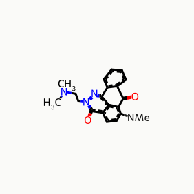 CNc1ccc2c(=O)n(CCN(C)C)nc3c2c1C(=O)c1ccccc1-3